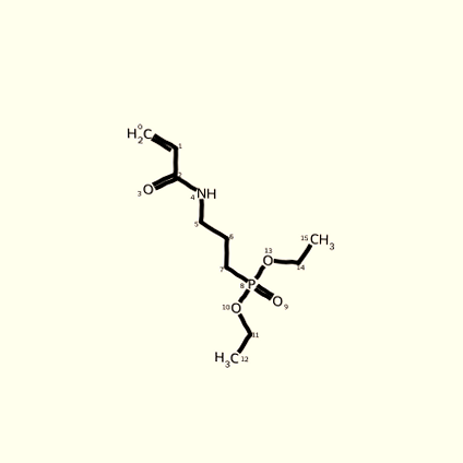 C=CC(=O)NCCCP(=O)(OCC)OCC